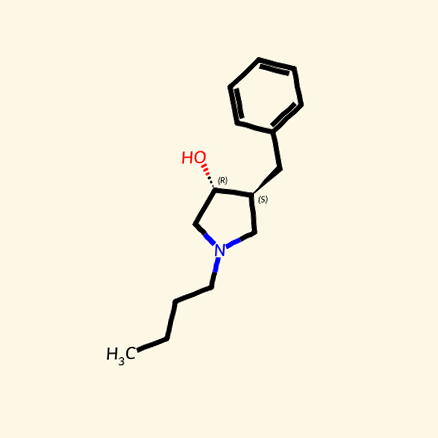 CCCCN1C[C@H](Cc2ccccc2)[C@@H](O)C1